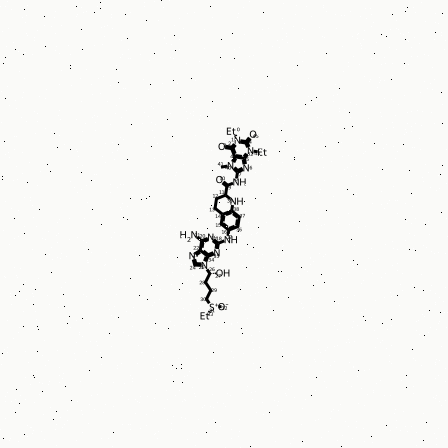 CCn1c(=O)c2c(nc(NC(=O)C3CCc4cc(Nc5nc(N)c6ncn([C@H](O)CCC[S+]([O-])CC)c6n5)ccc4N3)n2C)n(CC)c1=O